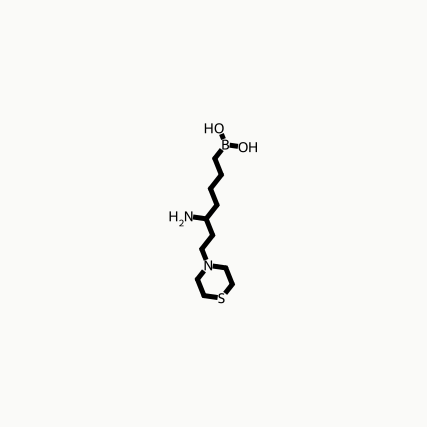 NC(CCCCB(O)O)CCN1CCSCC1